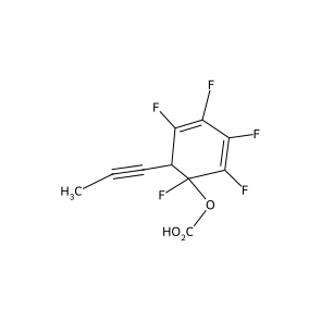 CC#CC1C(F)=C(F)C(F)=C(F)C1(F)OC(=O)O